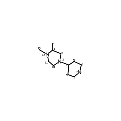 CC1CN(C2CC[N]CC2)CCN1C